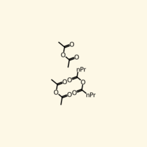 CC(=O)OC(C)=O.CC(=O)OC(C)=O.CCCC(=O)OC(=O)CCC